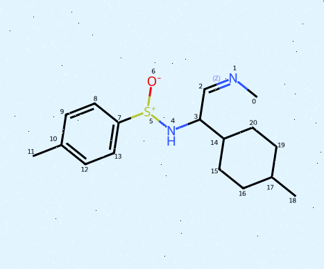 C/N=C\C(N[S+]([O-])c1ccc(C)cc1)C1CCC(C)CC1